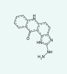 NNc1nc2ccc3[nH]c4ccccc4c(=O)c3c2[nH]1